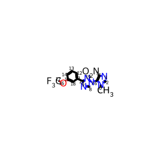 Cn1cnc([N+](=O)[O-])c1-n1cnc(-c2cccc(OC(F)(F)F)c2)n1